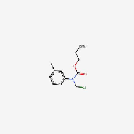 COCCOC(=O)N(CCl)c1cccc(C)c1